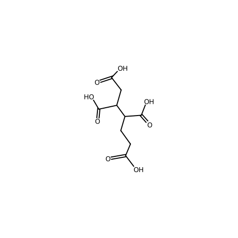 O=C(O)CCC(C(=O)O)C(CC(=O)O)C(=O)O